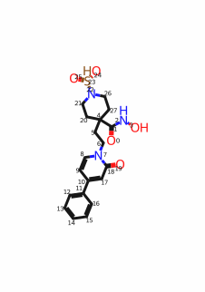 O=C(NO)C1(CCn2ccc(-c3ccccc3)cc2=O)CCN([SH](=O)=O)CC1